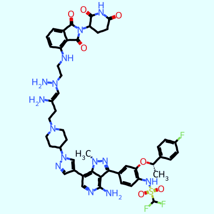 C[C@H](Oc1cc(-c2nn(C)c3c(-c4cnn(C5CCN(CC/C(N)=C/N(N)CCNc6cccc7c6C(=O)N(C6CCC(=O)NC6=O)C7=O)CC5)c4)cnc(N)c23)ccc1NS(=O)(=O)C(F)F)c1ccc(F)cc1